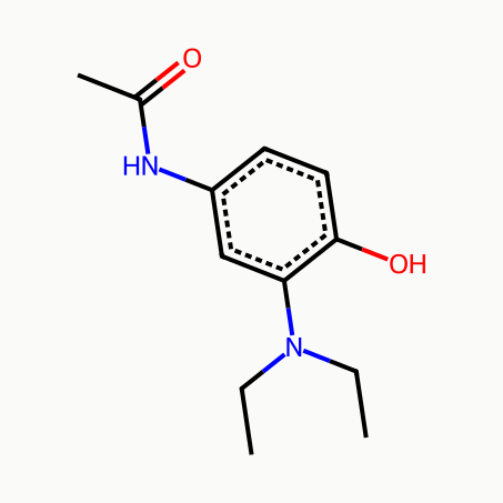 CCN(CC)c1cc(NC(C)=O)ccc1O